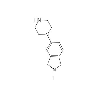 IN1Cc2ccc(N3CCNCC3)cc2C1